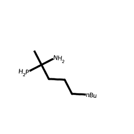 CCCCCCCC(C)(N)P